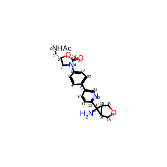 CC(=O)NC[C@H]1CN(c2ccc(-c3ccc(C4(N)C5COCC54)nc3)cc2)C(=O)O1